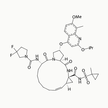 COc1ccc2c(O[C@@H]3C[C@H]4C(=O)N[C@]5(C(=O)NS(=O)(=O)C6(C)CC6)C[C@H]5/C=C\CCCCC[C@H](NC(=O)N5CCC(F)(F)C5)C(=O)N4C3)cc(OC(C)C)nc2c1C